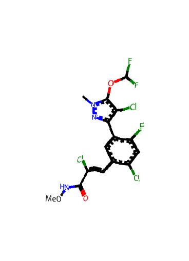 CONC(=O)C(Cl)=Cc1cc(-c2nn(C)c(OC(F)F)c2Cl)c(F)cc1Cl